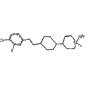 CCC[Si]1(C)CCC(C2CCC(CCc3ccc(Cl)c(F)c3)CC2)CC1